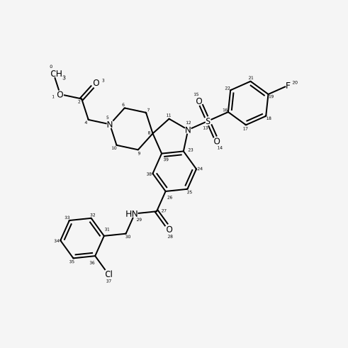 COC(=O)CN1CCC2(CC1)CN(S(=O)(=O)c1ccc(F)cc1)c1ccc(C(=O)NCc3ccccc3Cl)cc12